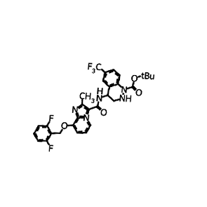 Cc1nc2c(OCc3c(F)cccc3F)cccn2c1C(=O)NC1CNN(C(=O)OC(C)(C)C)c2ccc(C(F)(F)F)cc21